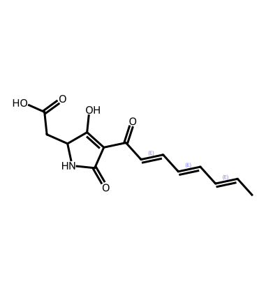 C/C=C/C=C/C=C/C(=O)C1=C(O)C(CC(=O)O)NC1=O